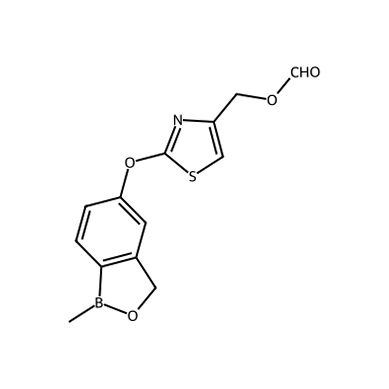 CB1OCc2cc(Oc3nc(COC=O)cs3)ccc21